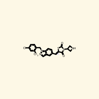 O=C1S/C(=C\c2ccc3c(cnn3Cc3ccc(Cl)cc3C(F)(F)F)c2)C(=O)N1C1CNC1